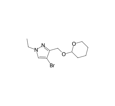 CCn1cc(Br)c(COC2CCCCO2)n1